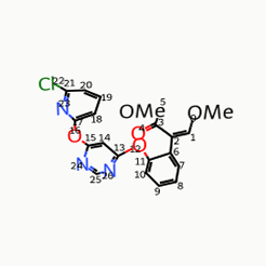 COC=C(C(=O)OC)c1ccccc1Oc1cc(Oc2cccc(Cl)n2)ncn1